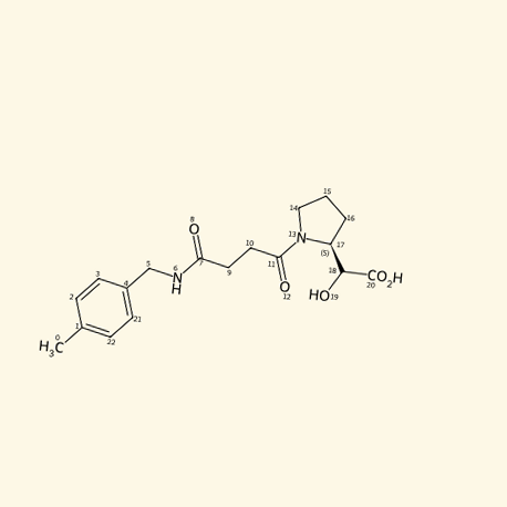 Cc1ccc(CNC(=O)CCC(=O)N2CCC[C@H]2C(O)C(=O)O)cc1